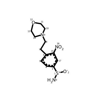 N[S+]([O-])c1ccc(CCN2CCOCC2)c([N+](=O)[O-])c1